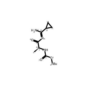 CCCCOC(=O)N[C@@H](C)C(=O)N=C(N)C1CC1